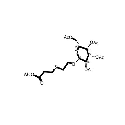 COC(=O)CCSCCO[C@@H]1O[C@H](COC(C)=O)[C@H](OC(C)=O)[C@H](OC(C)=O)[C@H]1OC(C)=O